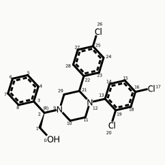 OC[C@@H](c1ccccc1)N1CCN(c2ccc(Cl)cc2Cl)C(c2ccc(Cl)cc2)C1